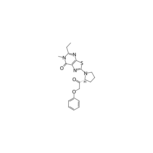 CCc1nc2sc(N3CCC[C@@H]3C(=O)COc3ccccc3)nc2c(=O)n1C